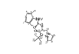 Cc1cccc(C)c1NC(=O)OC(Cn1cccn1)C(=O)OC(C)(C)C